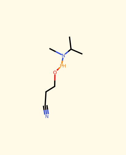 CC(C)N(C)POCCC#N